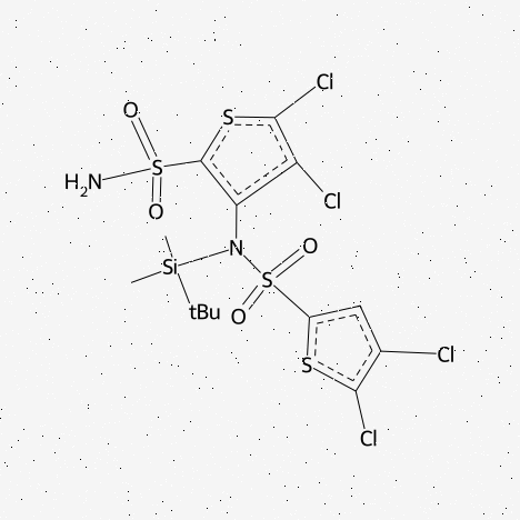 CC(C)(C)[Si](C)(C)N(c1c(S(N)(=O)=O)sc(Cl)c1Cl)S(=O)(=O)c1cc(Cl)c(Cl)s1